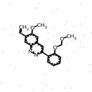 C=Cc1cc2nnc(-c3ccccc3OCOC)cc2cc1OC